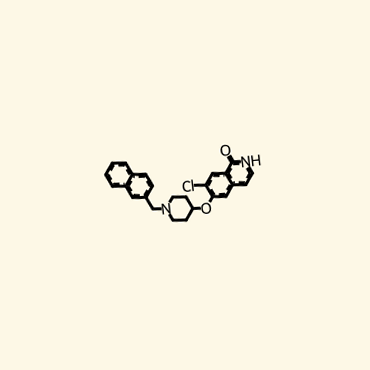 O=c1[nH]ccc2cc(OC3CCN(Cc4ccc5ccccc5c4)CC3)c(Cl)cc12